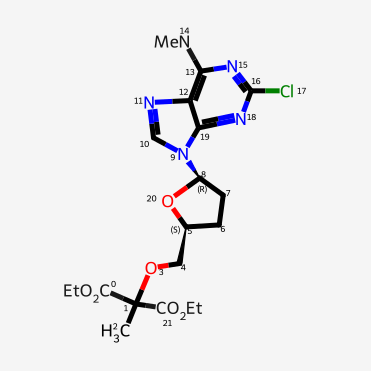 CCOC(=O)C(C)(OC[C@@H]1CC[C@H](n2cnc3c(NC)nc(Cl)nc32)O1)C(=O)OCC